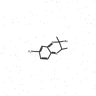 CCCCC1(C)N=c2cc(N)ccc2=NC1C